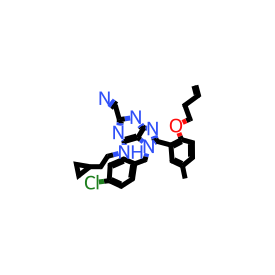 C=CCCOc1ccc(C)cc1-c1nc2nc(C#N)nc(NCCC3CC3)c2n1Cc1ccc(Cl)cc1